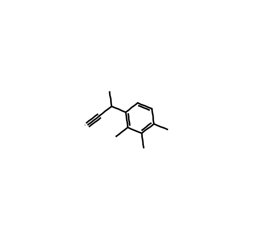 [C]#CC(C)c1ccc(C)c(C)c1C